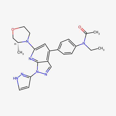 CCN(C(C)=O)c1ccc(-c2cc(N3CCOC[C@H]3C)nc3c2cnn3-c2cc[nH]n2)cc1